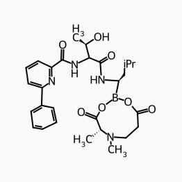 CC(C)C[C@H](NC(=O)C(NC(=O)c1cccc(-c2ccccc2)n1)[C@@H](C)O)B1OC(=O)CCN(C)[C@H](C)C(=O)O1